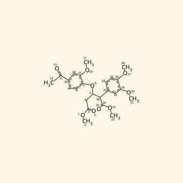 COC(=O)CC(Oc1ccc(C(C)=O)cc1OC)C(C(=O)OC)c1ccc(OC)c(OC)c1